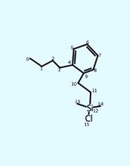 CCCCc1ccccc1CC[Si](C)(C)Cl